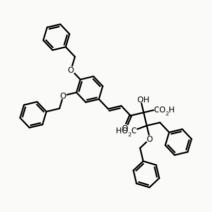 O=C(O)C(Cc1ccccc1)(OCc1ccccc1)C(O)(C(=O)O)C(=O)C=Cc1ccc(OCc2ccccc2)c(OCc2ccccc2)c1